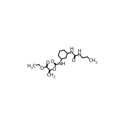 C=C(OC(=O)NC1CCCC(NC(=O)NCCC)C1)C(=O)OCC